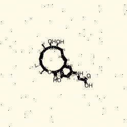 C[C@@H]1/C=C\[C@@H](C)[C@H](C)OC(=O)c2c(O)cc(NCC(=O)O)cc2/C=C/C[C@H](O)[C@@H]1O